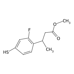 COC(=O)CC(C)c1ccc(S)cc1F